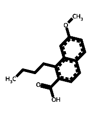 CCCCc1c(C(=O)O)ccc2ccc(OC)cc12